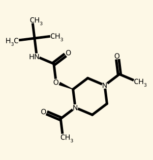 CC(=O)N1CCN(C(C)=O)[C@@H](OC(=O)NC(C)(C)C)C1